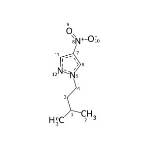 CC(C)CCn1cc([N+](=O)[O-])cn1